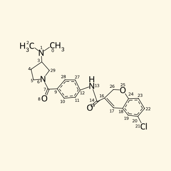 CN(C)C1CCN(C(=O)c2ccc(NC(=O)C3=Cc4cc(Cl)ccc4OC3)cc2)C1